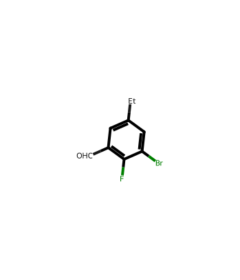 CCc1cc(Br)c(F)c(C=O)c1